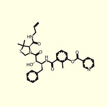 C=CCNC(=O)[C@H]1N(C(=O)[C@@H](O)[C@H](Cc2ccccc2)NC(=O)c2cccc(OC(=O)c3cccnc3)c2C)CSC1(C)C